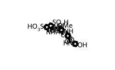 COc1cc(Nc2ccc(S(=O)(=O)Nc3ccc(O)cc3)cc2)c(C)cc1NNc1c(S(=O)(=O)O)cc2cc(S(=O)(=O)O)cc(NC(C)=O)c2c1O